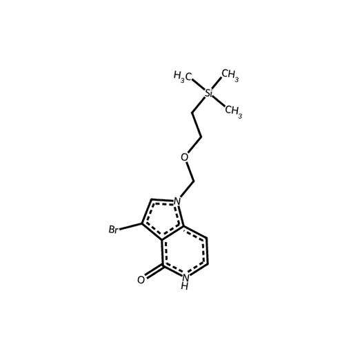 C[Si](C)(C)CCOCn1cc(Br)c2c(=O)[nH]ccc21